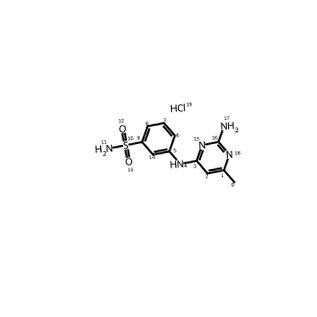 Cc1cc(Nc2cccc(S(N)(=O)=O)c2)nc(N)n1.Cl